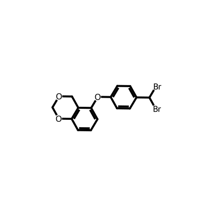 BrC(Br)c1ccc(Oc2cccc3c2COCO3)cc1